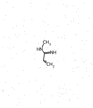 C=CC(=N)NC